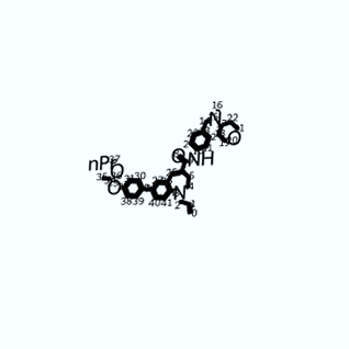 C=CCN1CCC(C(=O)Nc2ccc(CN(C)C3CCOCC3)cc2)=Cc2cc(-c3ccc(OC(C)OCCC)cc3)ccc21